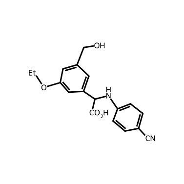 CCOc1cc(CO)cc(C(Nc2ccc(C#N)cc2)C(=O)O)c1